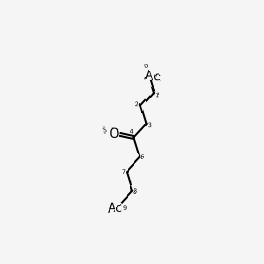 CC(=O)CCCC(=O)CCCC(C)=O